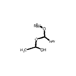 CCCCOC(CCC)OC(C)O